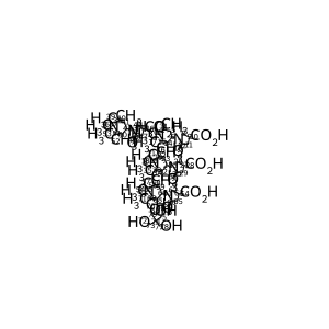 CN1C(C)(C)CC(N2CC(C(=O)O)CC2=O)CC1(C)C.CN1C(C)(C)CC(N2CC(C(=O)O)CC2=O)CC1(C)C.CN1C(C)(C)CC(N2CC(C(=O)O)CC2=O)CC1(C)C.CN1C(C)(C)CC(N2CC(C(=O)O)CC2=O)CC1(C)C.OCC(CO)(CO)CO